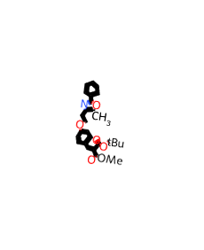 COC(=O)/C(=C/c1ccc(OCCc2nc(-c3ccccc3)oc2C)cc1)C(=O)OC(C)(C)C